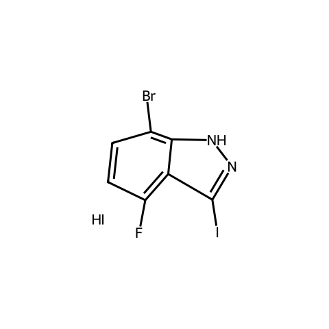 Fc1ccc(Br)c2[nH]nc(I)c12.I